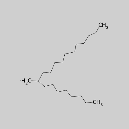 [CH2]C(CCCCCCCC)CCCCCCCCCCC